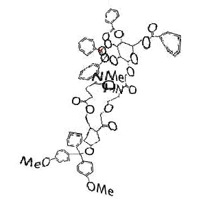 CNC(=O)CCC(=O)OC[C@@H]1C[C@@H](OC(c2ccccc2)(c2ccc(OC)cc2)c2ccc(OC)cc2)CC1C(=O)COCCNC(=O)CO[C@H]1OC(COC(=O)c2ccccc2)[C@@H](OC(=O)c2ccccc2)[C@H](OC(=O)c2ccccc2)C1OC(=O)c1ccccc1